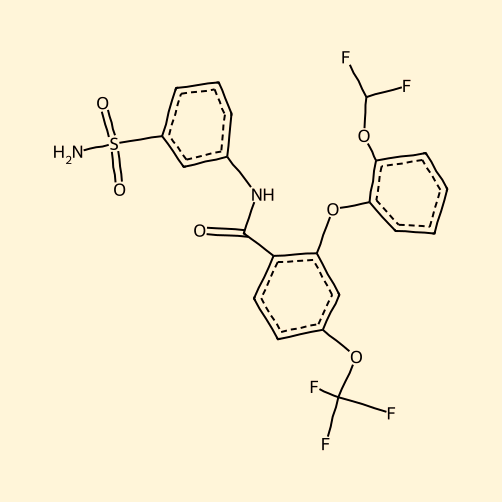 NS(=O)(=O)c1cccc(NC(=O)c2ccc(OC(F)(F)F)cc2Oc2ccccc2OC(F)F)c1